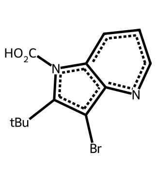 CC(C)(C)c1c(Br)c2ncccc2n1C(=O)O